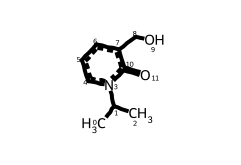 CC(C)n1cccc(CO)c1=O